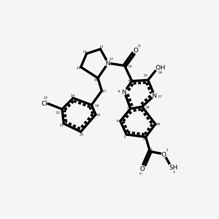 O=C(OS)c1ccc2nc(C(=O)N3CCCC3Cc3cccc(Cl)c3)c(O)nc2c1